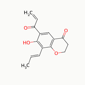 C=CC(=O)c1cc2c(c(/C=C/C)c1O)OCCC2=O